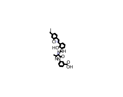 CC1=NN(c2cccc(C(=O)O)c2)C(=O)/C1=N\Nc1cccc(/C=C/c2ccc(CI)cc2Cl)c1O